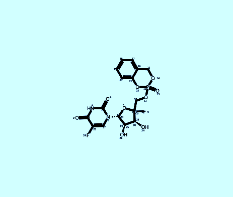 O=c1[nH]c(=O)n([C@@H]2O[C@](F)(COP3(=O)OCc4ccccc4O3)[C@@H](O)[C@H]2O)cc1F